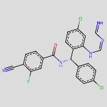 N#Cc1ccc(C(=O)N[C@@H](c2ccc(Cl)cc2)c2ccc(Cl)cc2N/C=N\C=N)cc1F